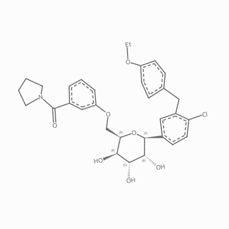 CCOc1ccc(Cc2cc([C@@H]3O[C@H](COc4cccc(C(=O)N5CCCC5)c4)[C@H](O)[C@@H](O)[C@H]3O)ccc2Cl)cc1